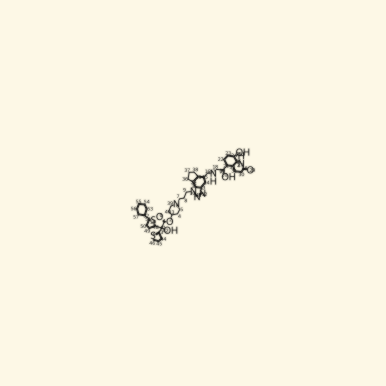 O=C(OC1CCN(CCCn2nnc3cc(CNC[C@H](O)c4ccc(O)c5[nH]c(=O)ccc45)c4c(c32)CCC4)CC1)C(O)(c1cccs1)c1ccc(-c2ccccc2)s1